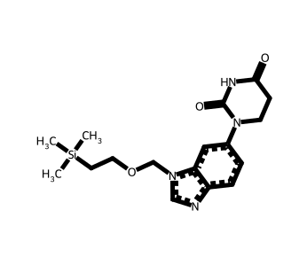 C[Si](C)(C)CCOCn1cnc2ccc(N3CCC(=O)NC3=O)cc21